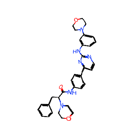 O=C(Nc1ccc(-c2ccnc(Nc3cccc(N4CCOCC4)c3)n2)cc1)[C@H](Cc1ccccc1)N1CCOCC1